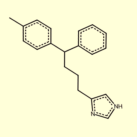 Cc1ccc(C(CCCc2c[nH]cn2)c2ccccc2)cc1